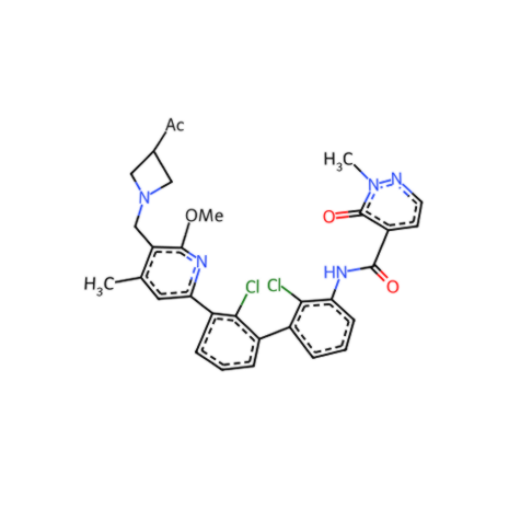 COc1nc(-c2cccc(-c3cccc(NC(=O)c4ccnn(C)c4=O)c3Cl)c2Cl)cc(C)c1CN1CC(C(C)=O)C1